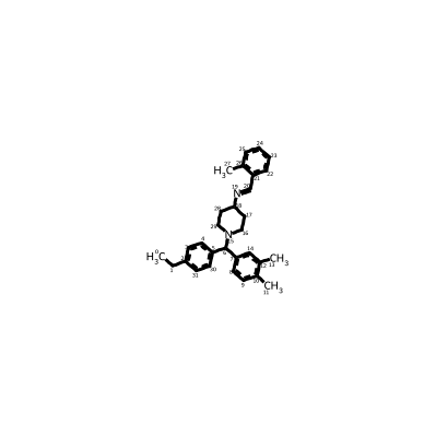 CCc1ccc(C(c2ccc(C)c(C)c2)N2CCC(N=Cc3ccccc3C)CC2)cc1